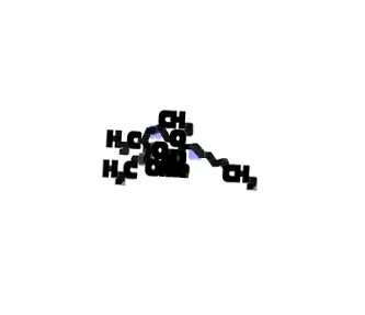 C=CCC/C=C/C(=O)OC/C(C)=C\C(C)[C@H](OS)[C@H](C=C)OC